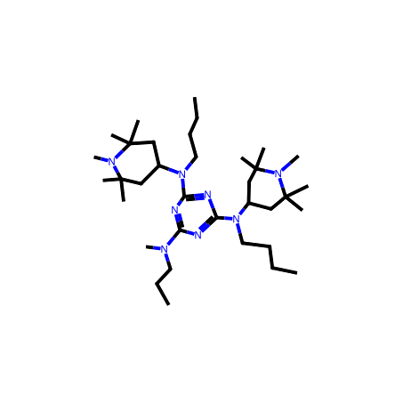 CCCCN(c1nc(N(C)CCC)nc(N(CCCC)C2CC(C)(C)N(C)C(C)(C)C2)n1)C1CC(C)(C)N(C)C(C)(C)C1